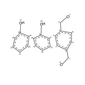 ClCc1ccc(CCl)cc1.Oc1ccccc1.Oc1ccccc1